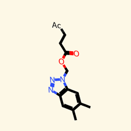 CC(=O)CCC(=O)OCn1nnc2cc(C)c(C)cc21